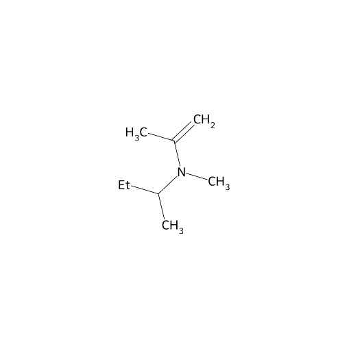 C=C(C)N(C)C(C)CC